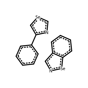 c1ccc(-c2c[se]cn2)cc1.c1ccc2[se]ncc2c1